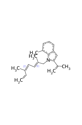 C=C/C(C)=C\C=C(/C)Cn1c(C(=C)C)cc2cccc(C)c21